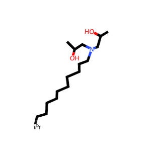 CC(C)CCCCCCCCCCN(CC(C)O)CC(C)O